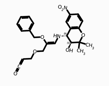 CC1(C)Oc2ccc([N+](=O)[O-])cc2[C@@H](NC=C(COCC=C=O)OCc2ccccc2)[C@@H]1O